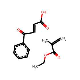 C=C(C)C(=O)OCC.O=C(O)C=CC(=O)c1ccccc1